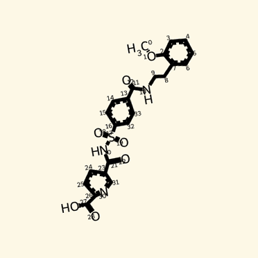 COc1ccccc1CCNC(=O)c1ccc(S(=O)(=O)NC(=O)c2ccc(C(=O)O)nc2)cc1